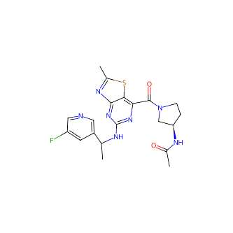 CC(=O)N[C@@H]1CCN(C(=O)c2nc(NC(C)c3cncc(F)c3)nc3nc(C)sc23)C1